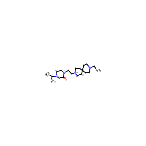 CCN1CCC2(CC1)CCN(CCN1CCN(C(C)C)CC1=O)CC2